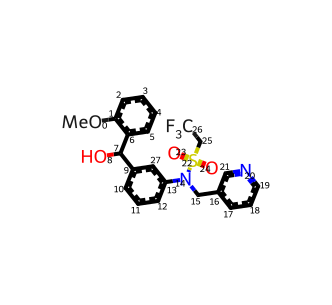 COc1ccccc1C(O)c1cccc(N(Cc2cccnc2)S(=O)(=O)CC(F)(F)F)c1